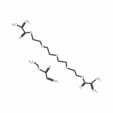 C=C(C)C(=O)OCCOCCOCCOCCOC(=O)C(=C)C.C=CC(=O)OCC